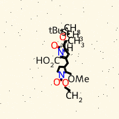 C=CCOC(=O)N1CCC(CC2=C(C(=O)O)N3C(=O)[C@H]([C@@H](C)O[Si](C)(C)C(C)(C)C)[C@H]3C2)C1COC